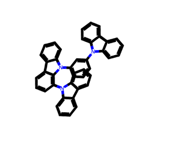 c1cc(-n2c3ccccc3c3ccccc32)cc(-n2c3ccccc3c3cccc(-n4c5ccccc5c5ccccc54)c32)c1